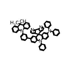 CC1(C)c2ccccc2N(c2cccc(-c3ccc4c(c3)C3(c5cc(N(c6ccccc6)c6ccccc6)ccc5N4c4ccccc4)c4cccnc4-c4ncccc43)c2)c2ccccc21